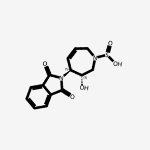 O=C1c2ccccc2C(=O)N1[C@H]1C=CCN(S(=O)O)C[C@@H]1O